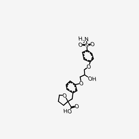 NS(=O)(=O)c1ccc(OCC(O)COc2cccc(CC3(C(=O)O)CCCO3)c2)cc1